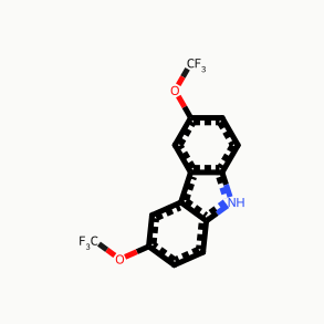 FC(F)(F)Oc1ccc2[nH]c3ccc(OC(F)(F)F)cc3c2c1